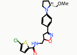 COC[C@H]1CCCN1c1ccc(C2=NOC(CNC(=O)c3ccc(Cl)s3)C2)cc1